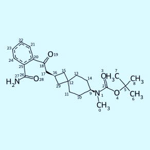 CN(C(=O)OC(C)(C)C)[C@H]1CCC2(CC1)C[C@H](CC(=O)c1ccccc1C(N)=O)C2